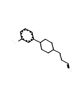 C=CCCC1CCC(c2cccc(C#N)c2)CC1